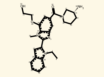 CCn1c(-c2nc3cc(C(=O)N4CCC[C@@H](N)C4)cc(OCCO)c3n2C)cc2ccccc21